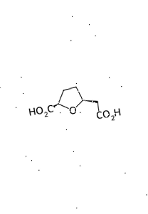 O=C(O)C[C@@H]1CC[C@H](C(=O)O)O1